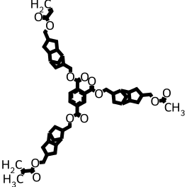 C=CC(=O)OCC1CC2C3CC(COC(=O)c4ccc(C(=O)OCC5CC6CC5C5CC(COC(=O)C(=C)C)CC65)cc4C(=O)OCC4CC5CC4C4CC(COC(C)=O)CC54)C(C3)C2C1